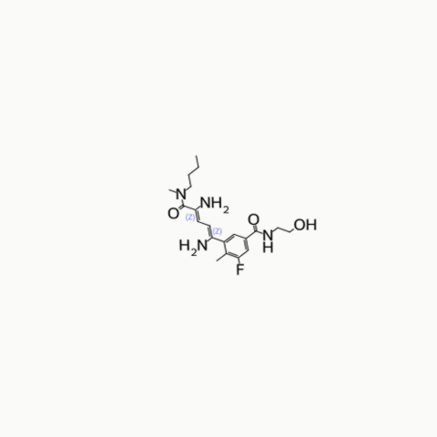 CCCCN(C)C(=O)/C(N)=C/C=C(\N)c1cc(C(=O)NCCO)cc(F)c1C